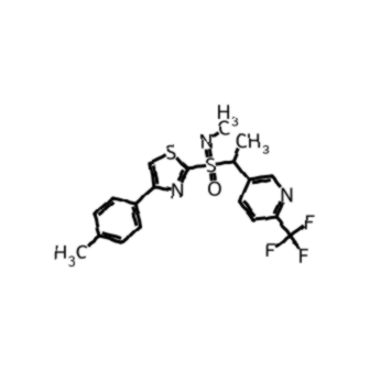 CN=S(=O)(c1nc(-c2ccc(C)cc2)cs1)C(C)c1ccc(C(F)(F)F)nc1